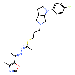 C/C(=N\N=C(/C)c1ocnc1C)SCCCN1CC2CCN(c3ccc(F)cc3)C2C1